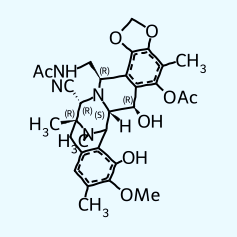 COc1c(C)cc2c(c1O)C1[C@H]3[C@H](O)c4c(OC(C)=O)c(C)c5c(c4[C@H](CNC(C)=O)N3[C@@H](C#N)[C@@](C)(C2)N1C)OCO5